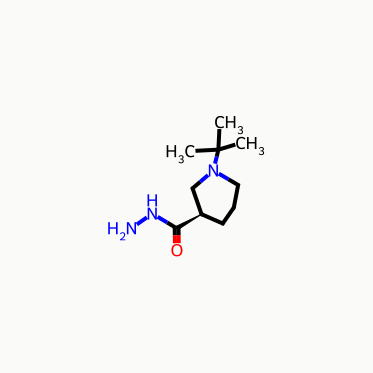 CC(C)(C)N1CCC[C@@H](C(=O)NN)C1